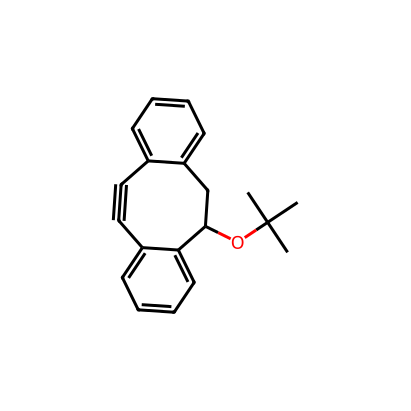 CC(C)(C)OC1Cc2ccccc2C#Cc2ccccc21